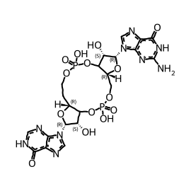 Nc1nc2c(ncn2[C@@H]2O[C@@H]3COP(=O)(O)OC4[C@@H](CCOP(=O)(O)OC3[C@@H]2O)O[C@@H](n2cnc3c(=O)[nH]cnc32)[C@H]4O)c(=O)[nH]1